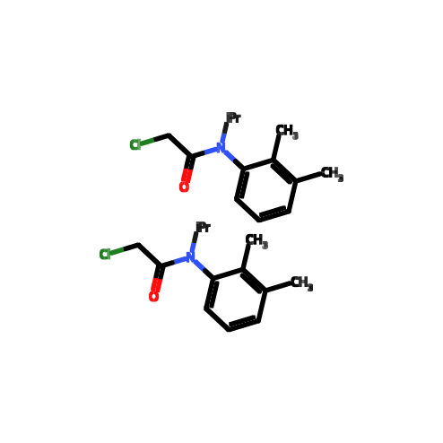 Cc1cccc(N(C(=O)CCl)C(C)C)c1C.Cc1cccc(N(C(=O)CCl)C(C)C)c1C